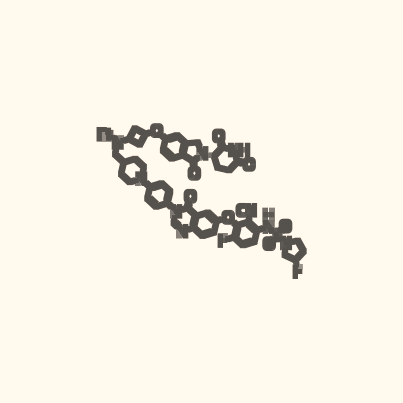 CCN(CC1CCN(c2ccc(-n3cnc4ccc(Oc5c(F)ccc(NS(=O)(=O)N6CC[C@@H](F)C6)c5C#N)cc4c3=O)cc2)CC1)C1CC(Oc2ccc3c(c2)CN([C@H]2CCC(=O)NC2=O)C3=O)C1